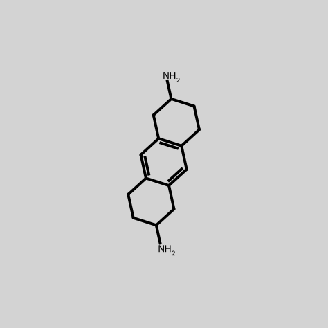 NC1CCc2cc3c(cc2C1)CCC(N)C3